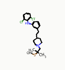 CC(C)(CN1CCC(CCc2cccc(Nc3c(Cl)cccc3Cl)c2)CC1)SN=O